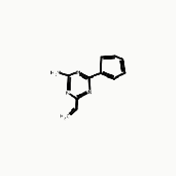 C=Cc1nc(N)nc(-c2ccccc2)n1